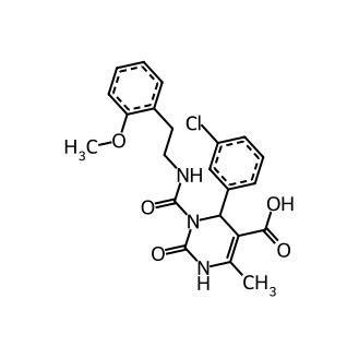 COc1ccccc1CCNC(=O)N1C(=O)NC(C)=C(C(=O)O)C1c1cccc(Cl)c1